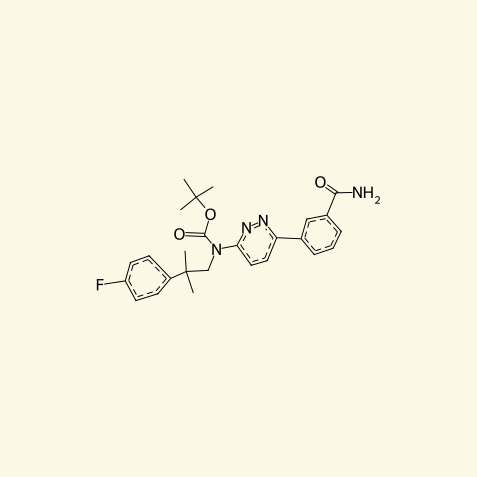 CC(C)(C)OC(=O)N(CC(C)(C)c1ccc(F)cc1)c1ccc(-c2cccc(C(N)=O)c2)nn1